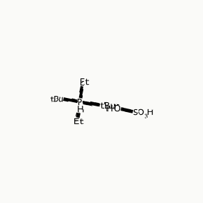 CC[PH](CC)(C(C)(C)C)C(C)(C)C.O=S(=O)(O)O